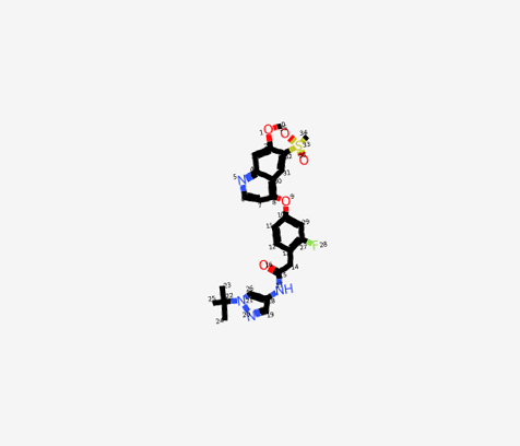 COc1cc2nccc(Oc3ccc(CC(=O)Nc4cnn(C(C)(C)C)c4)c(F)c3)c2cc1S(C)(=O)=O